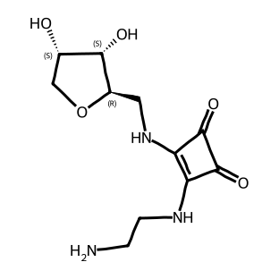 NCCNc1c(NC[C@H]2OC[C@H](O)[C@@H]2O)c(=O)c1=O